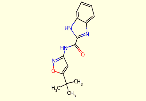 CC(C)(C)c1cc(NC(=O)c2nc3ccccc3[nH]2)no1